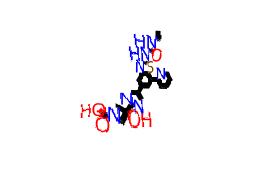 CCNC(=O)Nc1nc2cc(-c3cnc(C4(O)CN(C(=O)O)C4)nc3)cc(-c3ccccn3)c2s1